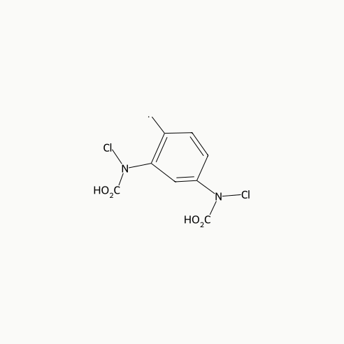 [CH2]c1ccc(N(Cl)C(=O)O)cc1N(Cl)C(=O)O